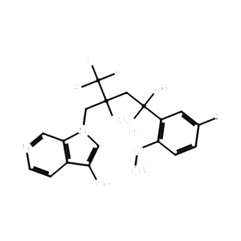 COc1ccc(F)cc1C(C)(C)CC(O)(Cn1cc(C)c2ccncc21)C(F)(F)F